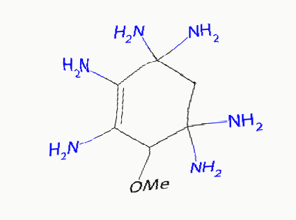 COC1C(N)=C(N)C(N)(N)CC1(N)N